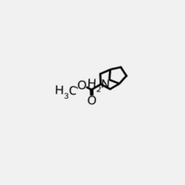 COC(=O)C1CC2CCC(C1)C2N